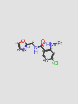 CC(C)Nc1cc(Cl)ncc1C(=O)NCc1ncco1